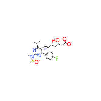 COC(=O)CC(O)CC/C=C/c1c(-c2ccc(F)cc2)nc(N(C)[S+](C)[O-])nc1C(C)C